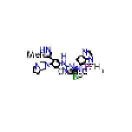 CN/C=C(\C=N)c1cc(Nc2ncc(Br)c(Nc3ccc4nccnc4c3P(C)C)n2)c(OC)cc1N1CCN2CCCC2C1